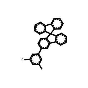 Cc1cc(Cl)cc(-c2ccc3c(c2)-c2ccccc2C32c3ccccc3-c3ccccc32)c1